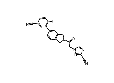 N#Cc1ccc(F)c(-c2ccc3c(c2)CN(C(=O)Cn2cnc(C#N)n2)C3)c1